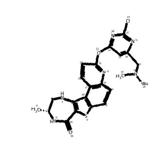 C[C@@H]1CNc2c(sc3ccc4nc(Oc5cc(CN(C)C(C)(C)C)nc(Cl)n5)ccc4c23)C(=O)N1